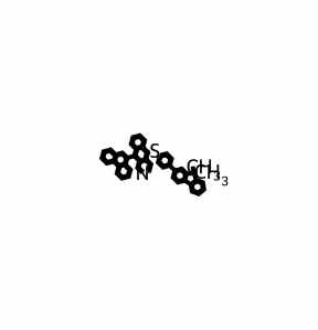 CC1(C)c2ccccc2-c2ccc(-c3ccc(Sc4c5ccccc5c(-c5cc6ccccc6c6ccccc56)c5cnccc45)cc3)cc21